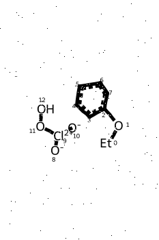 CCOc1ccccc1.[O-][Cl+2]([O-])OO